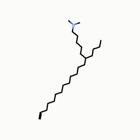 C=CCCCCCCCCCCCC(CCCC)CCCCCN(C)C